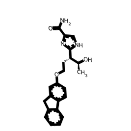 C[C@H](O)[C@H](CCOc1ccc2c(c1)Cc1ccccc1-2)c1nc(C(N)=O)c[nH]1